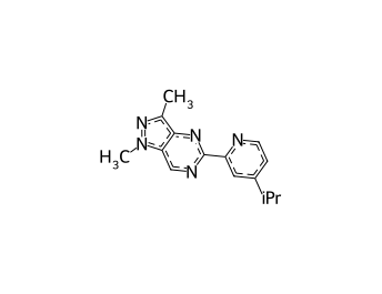 Cc1nn(C)c2cnc(-c3cc(C(C)C)ccn3)nc12